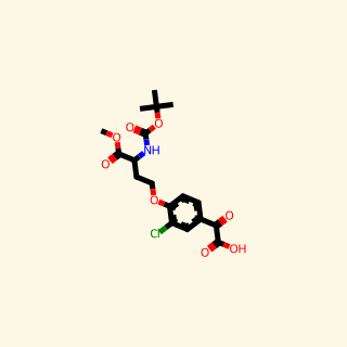 COC(=O)C(CCOc1ccc(C(=O)C(=O)O)cc1Cl)NC(=O)OC(C)(C)C